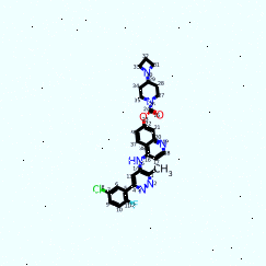 Cc1nnc(-c2cc(Cl)ccc2F)cc1Nc1ccnc2cc(OC(=O)N3CCC(N4CCC4)CC3)ccc12